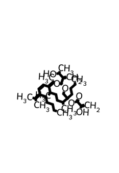 C=C(O)C(=O)OC(CCCC)(COC(=O)C(=C)C(C)O)C(C)CCC(C)C(/C=C\C(CCCCC)=C(C)C)=C/C